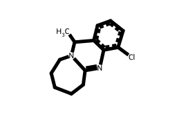 CC1c2cccc(Cl)c2N=C2CCCCCN21